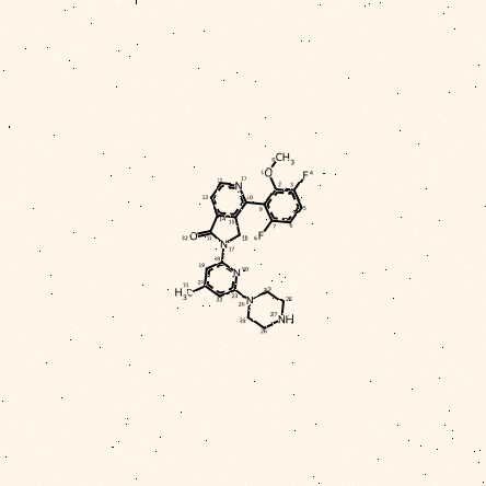 COc1c(F)ccc(F)c1-c1nccc2c1CN(c1cc(C)cc(N3CCNCC3)n1)C2=O